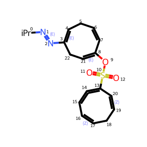 CC(C)/N=N/C1=C/CC=C/C(OS(=O)(=O)C2=C=C/C=C\C/C=C\2)=C\C1